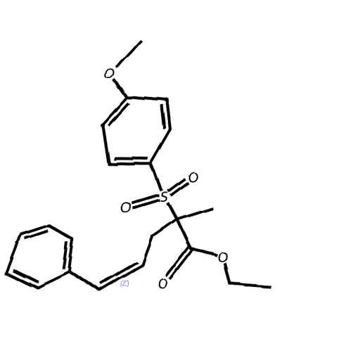 CCOC(=O)C(C)(C/C=C\c1ccccc1)S(=O)(=O)c1ccc(OC)cc1